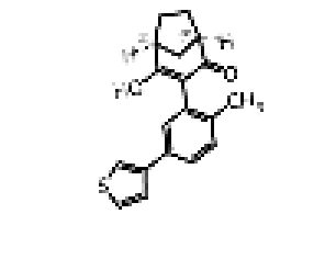 Cc1ccc(-c2ccsc2)cc1C1=C(O)[C@H]2CC[C@H](C2)C1=O